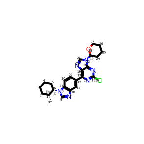 C[C@@H]1CCCC[C@@H]1n1cnc2cc(-c3nc(Cl)nc4c3ncn4C3CCCCO3)ccc21